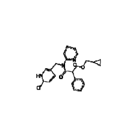 O=C(OCC1CC1)C(C(=O)N(CC1=CNC(Cl)C=C1)c1ccccn1)c1ccccc1